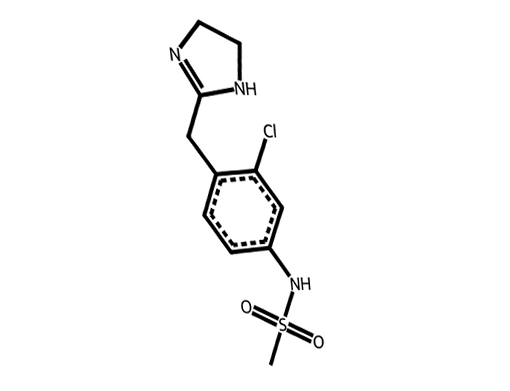 CS(=O)(=O)Nc1ccc(CC2=NCCN2)c(Cl)c1